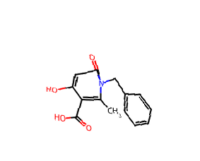 Cc1c(C(=O)O)c(O)cc(=O)n1Cc1ccccc1